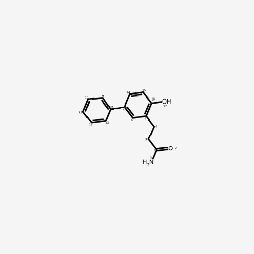 NC(=O)CCc1cc(-c2ccccc2)ccc1O